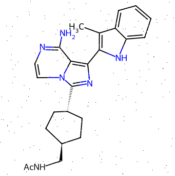 CC(=O)NC[C@H]1CC[C@H](c2nc(-c3[nH]c4ccccc4c3C)c3c(N)nccn32)CC1